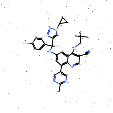 BC(Nc1cc(-c2cnc(C)nc2)c2ncc(C#N)c(NCC(C)(C)C)c2c1)(c1ccc(F)cc1)c1cn(C2CC2)nn1